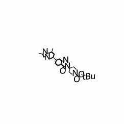 Cc1cn2cc(-c3ccc4c(=O)n(C5CCN(C(=O)OC(C)(C)C)CC5)cnc4c3)cc(C)c2n1